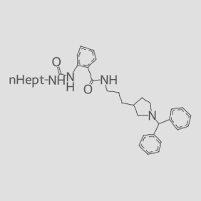 CCCCCCCNC(=O)Nc1ccccc1C(=O)NCCCC1CCN(C(c2ccccc2)c2ccccc2)C1